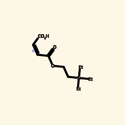 CC[Si](CC)(CC)CCOC(=O)/C=C\C(=O)O